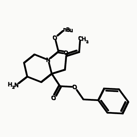 C/C=C/CC1(C(=O)OCc2ccccc2)CC(N)CCN1C(=O)OCCCC